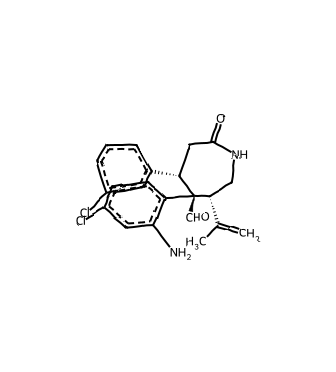 C=C(C)[C@H]1CNC(=O)C[C@@H](c2cccc(Cl)c2)[C@@]1(C=O)c1ccc(Cl)cc1N